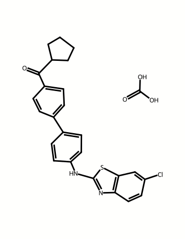 O=C(O)O.O=C(c1ccc(-c2ccc(Nc3nc4ccc(Cl)cc4s3)cc2)cc1)C1CCCC1